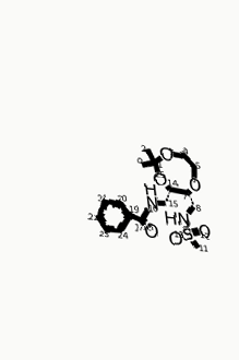 CC1(C)OCCO[C@H](CNS(C)(=O)=O)[C@H](CNC(=O)c2ccccc2)O1